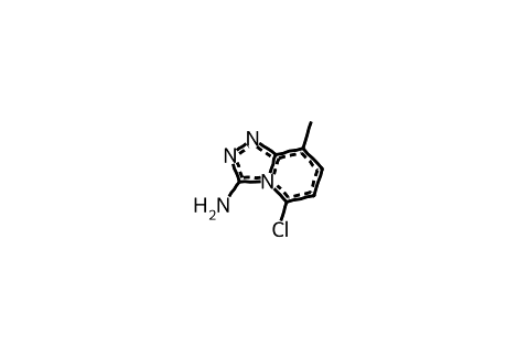 Cc1ccc(Cl)n2c(N)nnc12